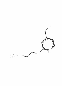 COCCOc1cc(CBr)ccn1